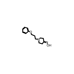 ON=C1CCN(CCCOc2ccccc2)CC1